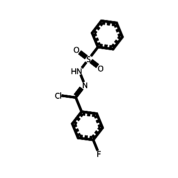 O=S(=O)(NN=C(Cl)c1ccc(F)cc1)c1ccccc1